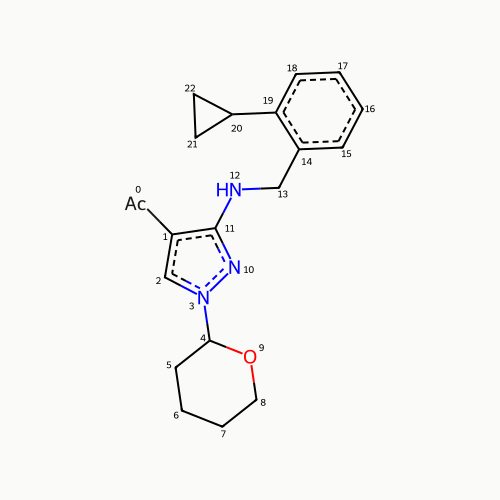 CC(=O)c1cn(C2CCCCO2)nc1NCc1ccccc1C1CC1